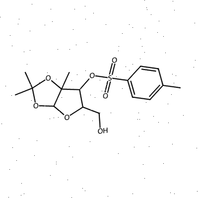 Cc1ccc(S(=O)(=O)OC2C(CO)OC3OC(C)(C)OC32C)cc1